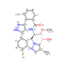 CO[C@H](CO)[C@@H](Cn1cc(C)cn1)NC(=O)c1cccc(F)c1-c1cc(-c2ccc(F)cc2)[nH]n1